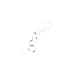 O=C1C(S(=O)(=O)Cc2cc3cc(Br)ccc3s2)CCN1C1CCCCC1